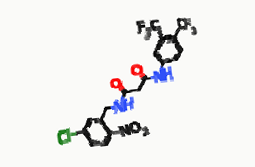 O=C(CC(=O)Nc1ccc(C(F)(F)F)c(C(F)(F)F)c1)NCc1cc(Cl)ccc1[N+](=O)[O-]